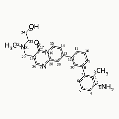 Cc1c(N)cccc1-c1cccc(-c2ccn3c(=O)c(CN(C)CCO)cnc3c2)c1